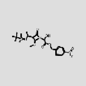 CSC1C(C(C)O[Si](C)(C)C(C)(C)C)C(=O)N1C(O)C(=O)OCc1ccc([N+](=O)[O-])cc1